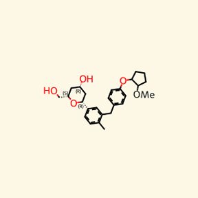 COC1CCCC1Oc1ccc(Cc2cc([C@H]3C[C@@H](O)C[C@@H](CO)O3)ccc2C)cc1